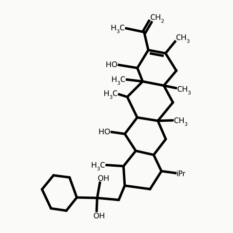 C=C(C)C1=C(C)CC2(C)CC3(C)CC4C(C(C)C)CC(CC(O)(O)C5CCCCC5)C(C)C4C(O)C3C(C)C2(C)C1O